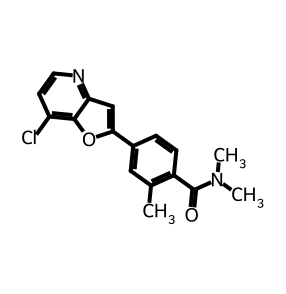 Cc1cc(-c2cc3nccc(Cl)c3o2)ccc1C(=O)N(C)C